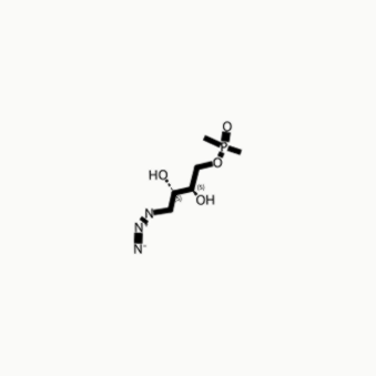 CP(C)(=O)OC[C@H](O)[C@@H](O)CN=[N+]=[N-]